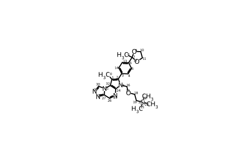 Cc1c(-c2ccc(C3(C)OCCO3)cc2)n(COCC[Si](C)(C)C)c2ncc3nncn3c12